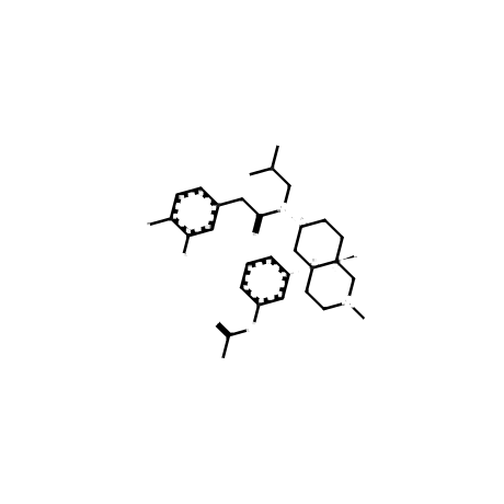 CC(=O)Oc1cccc([C@@]23CCN(C)C[C@H]2CC[C@@H](N(CC(C)C)C(=O)Cc2ccc(Cl)c(Cl)c2)C3)c1